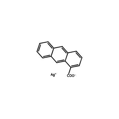 O=C([O-])c1cccc2cc3ccccc3cc12.[Ag+]